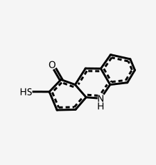 O=c1c(S)ccc2[nH]c3ccccc3cc1-2